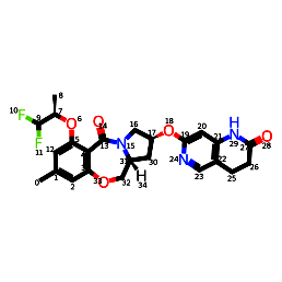 Cc1cc2c(c(O[C@H](C)C(F)F)c1)C(=O)N1C[C@@H](Oc3cc4c(cn3)CCC(=O)N4)C[C@@H]1CO2